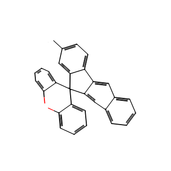 Bc1ccc2c(c1)C1(c3ccccc3Oc3ccccc31)c1cc3ccccc3cc1-2